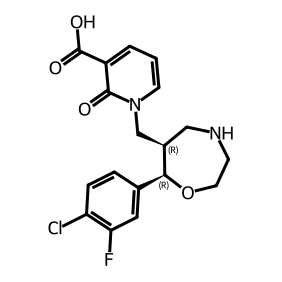 O=C(O)c1cccn(C[C@H]2CNCCO[C@H]2c2ccc(Cl)c(F)c2)c1=O